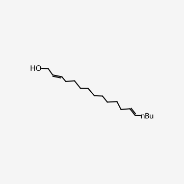 CCCCC=CCCCCCCCCCC=CCO